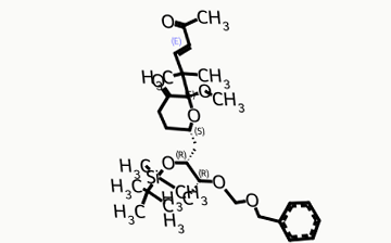 CO[C@@]1(C(C)(C)/C=C/C(C)=O)O[C@H](C[C@@H](O[Si](C)(C)C(C)(C)C)[C@@H](C)OCOCc2ccccc2)CCC1=O